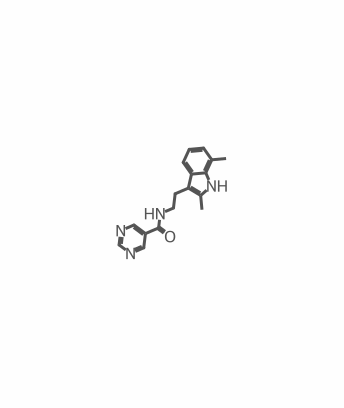 Cc1[nH]c2c(C)cccc2c1CCNC(=O)c1cncnc1